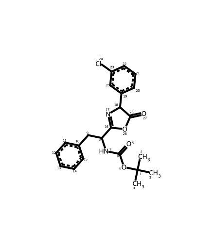 CC(C)(C)OC(=O)NC(Cc1ccccc1)C1=NC(c2cccc(Cl)c2)C(=O)O1